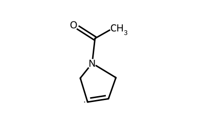 CC(=O)N1C[C]=CC1